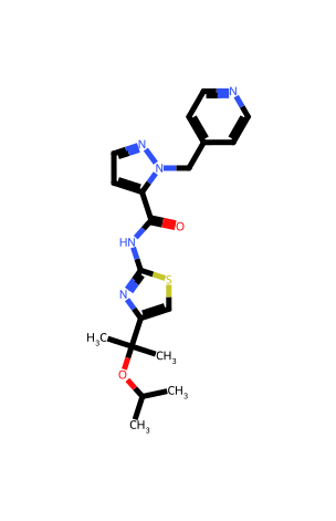 CC(C)OC(C)(C)c1csc(NC(=O)c2ccnn2Cc2ccncc2)n1